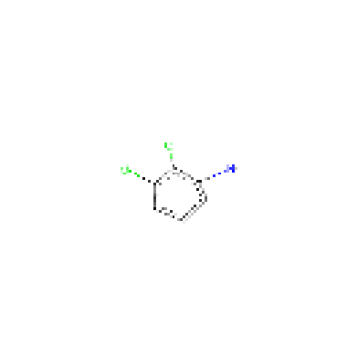 [N]c1cccc(Cl)c1Cl